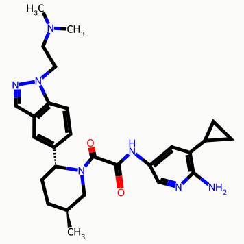 C[C@H]1CC[C@H](c2ccc3c(cnn3CCN(C)C)c2)N(C(=O)C(=O)Nc2cnc(N)c(C3CC3)c2)C1